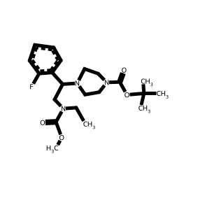 CCN(CC(c1ccccc1F)N1CCN(C(=O)OC(C)(C)C)CC1)C(=O)OC